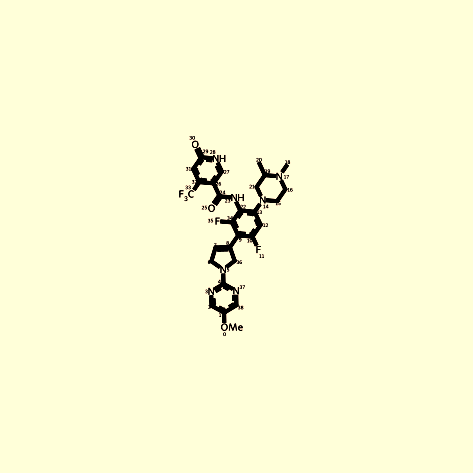 COc1cnc(N2CC=C(c3c(F)cc(N4CCN(C)C(C)C4)c(NC(=O)c4c[nH]c(=O)cc4C(F)(F)F)c3F)C2)nc1